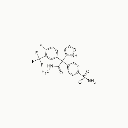 CNC(=O)C(c1ccc(S(N)(=O)=O)cc1)(c1ccc(F)c(C(F)(F)F)c1)c1ccn[nH]1